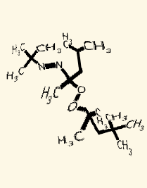 CC(C)CC(C)(N=NC(C)(C)C)OOC(C)(C)CC(C)(C)C